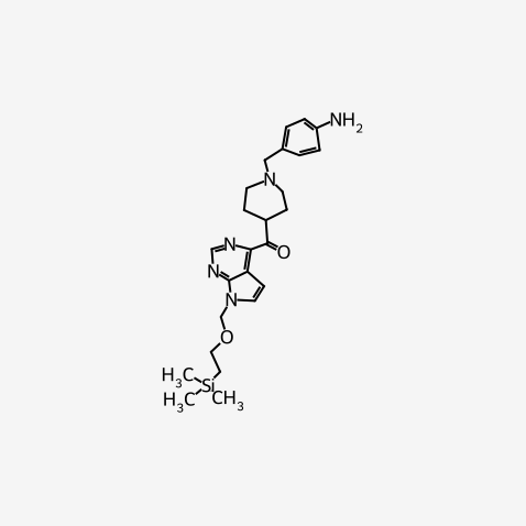 C[Si](C)(C)CCOCn1ccc2c(C(=O)C3CCN(Cc4ccc(N)cc4)CC3)ncnc21